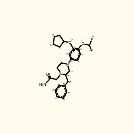 NC(=O)CN1CCN(c2ccc(OC(F)F)c(OC3CCCC3)c2)CC1Cc1ccccc1